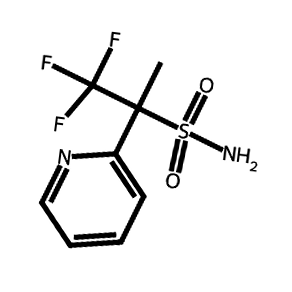 CC(c1ccccn1)(C(F)(F)F)S(N)(=O)=O